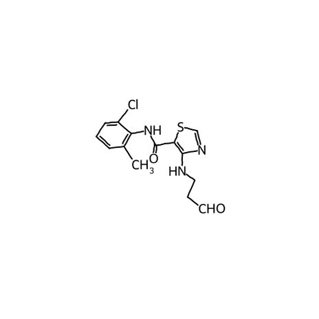 Cc1cccc(Cl)c1NC(=O)c1scnc1NCCC=O